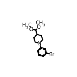 COC(OC)C1CCN(c2cccc(Br)c2)CC1